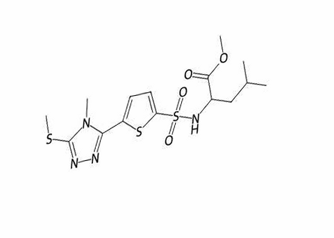 COC(=O)C(CC(C)C)NS(=O)(=O)c1ccc(-c2nnc(SC)n2C)s1